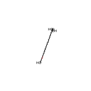 O=P(O)(O)CCCCCCCCCCCCCCCCCCCCCCCCCCCCCCCCCCCCO